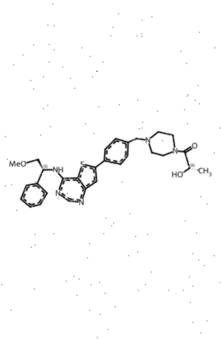 COC[C@@H](Nc1ncnc2cc(-c3ccc(CN4CCN(C(=O)[C@H](C)O)CC4)cc3)sc12)c1ccccc1